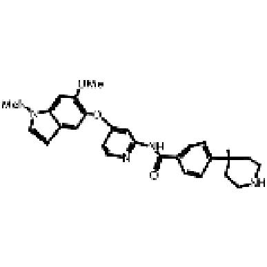 CNn1ccc2cc(Oc3ccnc(NC(=O)c4ccc(C5(F)CCNCC5)cc4)c3)c(OC)cc21